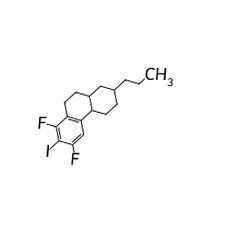 CCCC1CCC2c3cc(F)c(I)c(F)c3CCC2C1